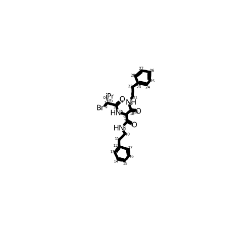 CC(C)[C@@H](Br)C(=O)NC(C(=O)NCCc1ccccc1)C(=O)NCCc1ccccc1